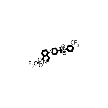 CC(C)(C1CCN(c2cccc3c(OC(=O)C(F)(F)F)nccc23)CC1)S(=O)(=O)c1cccc(C(F)(F)F)c1